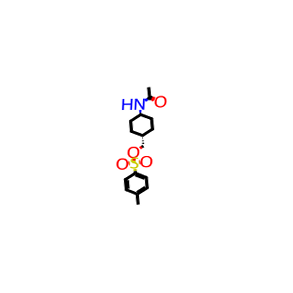 CC(=O)N[C@H]1CC[C@H](COS(=O)(=O)c2ccc(C)cc2)CC1